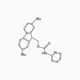 CC(C)(C)c1ccc2c(c1)C(COC(=O)Nc1ccccn1)c1cc(C(C)(C)C)ccc1-2